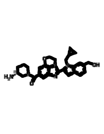 N[C@@H]1CCCN(C(=O)c2cc3c4c(c2)nc(-c2cc5ccc(CO)cc5n2CC2CC2)n4CCO3)C1